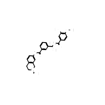 COc1ccc(C(=O)N[C@H](C)c2cccc(C(=O)Nc3ccc4c(c3)CN(C)CC4)c2)cc1C